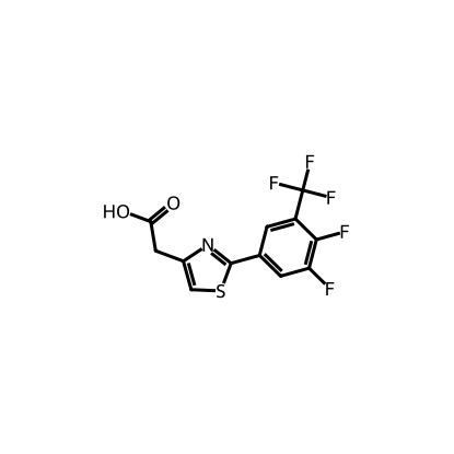 O=C(O)Cc1csc(-c2cc(F)c(F)c(C(F)(F)F)c2)n1